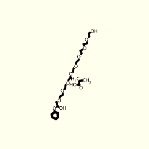 C=C(C)C(=O)O.OCCOCCOCCOCCOCCOCCOCCOCCOCC(O)Oc1ccccc1